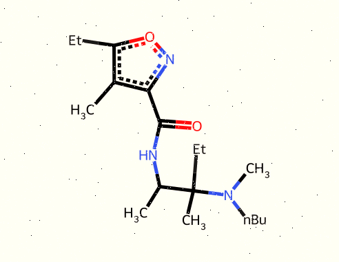 CCCCN(C)C(C)(CC)C(C)NC(=O)c1noc(CC)c1C